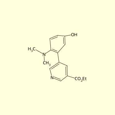 CCOC(=O)c1cncc(-c2cc(O)ccc2N(C)C)c1